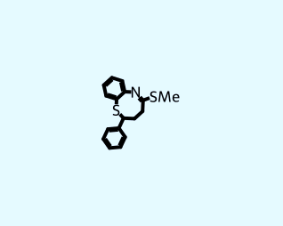 CSC1=Nc2ccccc2SC(c2ccccc2)CC1